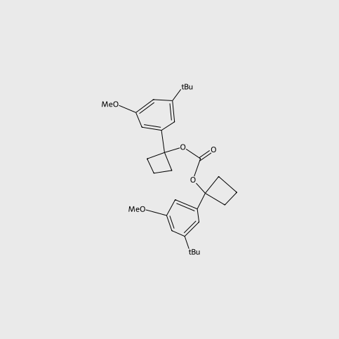 COc1cc(C(C)(C)C)cc(C2(OC(=O)OC3(c4cc(OC)cc(C(C)(C)C)c4)CCC3)CCC2)c1